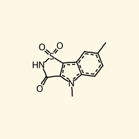 Cc1ccc2c(c1)c1c(n2C)C(=O)NS1(=O)=O